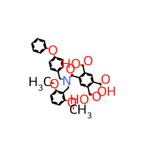 COc1cccc(OC)c1CN(Cc1ccc(Oc2ccccc2)cc1)C(=O)c1cc(C(=O)O)c(C(=O)O)cc1C(=O)O